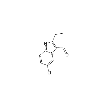 CCc1nc2ccc(Cl)cn2c1C=O